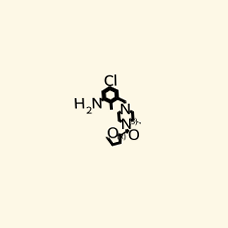 Cc1c(N)cc(Cl)cc1CN1CCN(C(=O)[C@H]2CCCO2)[C@@H](C)C1